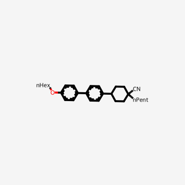 CCCCCCOc1ccc(-c2ccc(C3CCC(C#N)(CCCCC)CC3)cc2)cc1